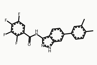 Cc1ccc(-c2ccc3c(NC(=O)c4cc(F)c(F)c(F)c4F)n[nH]c3c2)cc1C